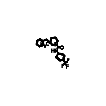 CC1(Cc2ccccc2)CCCN(C(=O)Nc2ccc(C(F)(F)F)cc2)C1